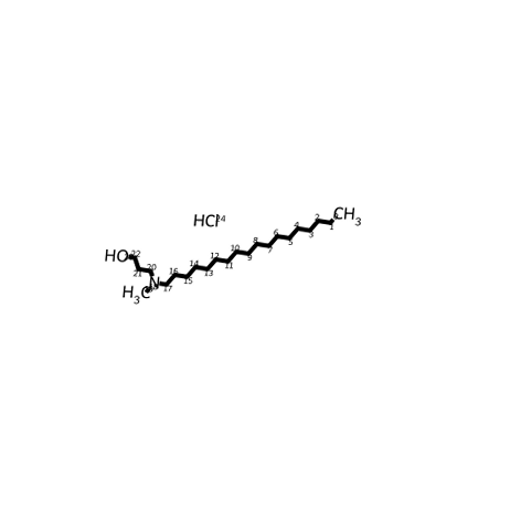 CCCCCCCCCCCCCCCCCCN(C)CCCO.Cl